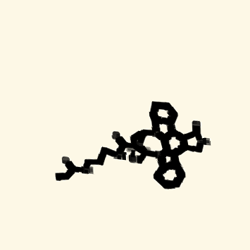 C=CC(=O)NCCCNC(=O)[C@@]1(O)CC2O[C@]1(C)n1c3ccccc3c3c4c(c5c6ccccc6n2c5c31)C(=O)NC4